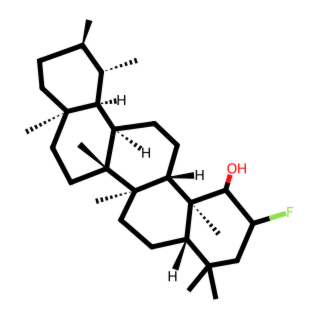 C[C@@H]1[C@H]2[C@H]3CC[C@@H]4[C@@]5(C)C(O)C(F)CC(C)(C)[C@@H]5CC[C@@]4(C)[C@]3(C)CC[C@@]2(C)CC[C@H]1C